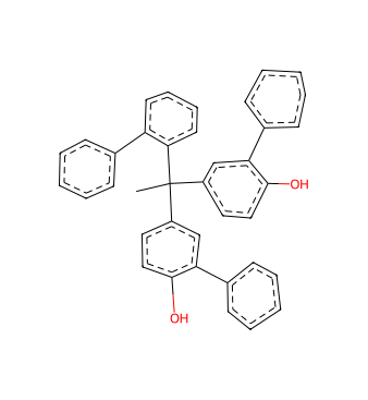 CC(c1ccc(O)c(-c2ccccc2)c1)(c1ccc(O)c(-c2ccccc2)c1)c1ccccc1-c1ccccc1